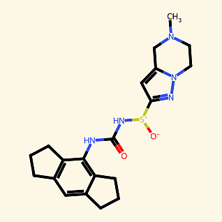 CN1CCn2nc([S+]([O-])NC(=O)Nc3c4c(cc5c3CCC5)CCC4)cc2C1